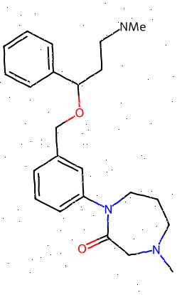 CNCCC(OCc1cccc(N2CCCN(C)CC2=O)c1)c1ccccc1